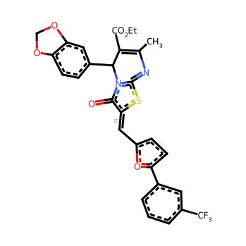 CCOC(=O)C1=C(C)N=c2s/c(=C\c3ccc(-c4cccc(C(F)(F)F)c4)o3)c(=O)n2C1c1ccc2c(c1)OCO2